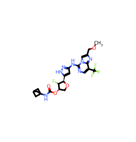 COCc1cn2c(Nc3cc([C@H]4OC[C@@H](OC(=O)NC56CC(C5)C6)[C@H]4F)[nH]n3)ncc(C(F)(F)F)c2n1